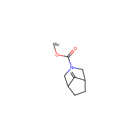 C=C1C2CCC1CN(C(=O)OC(C)(C)C)C2